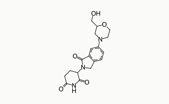 O=C1CCC(N2Cc3ccc(N4CCOC(CO)C4)cc3C2=O)C(=O)N1